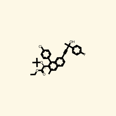 CCOC(=O)[C@@H](OC(C)(C)C)c1c(C)cc2ccc(C#CC(C)(O)c3ccc(F)cc3)cc2c1-c1ccc(Cl)cc1